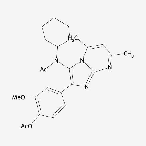 COc1cc(-c2nc3nc(C)cc(C)n3c2N(C(C)=O)C2CCCCC2)ccc1OC(C)=O